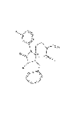 C[C@H]1C[C@]2(CCN1C(=O)O)C(Cc1ccccc1)C(=O)C(=O)N2c1cccc(F)c1